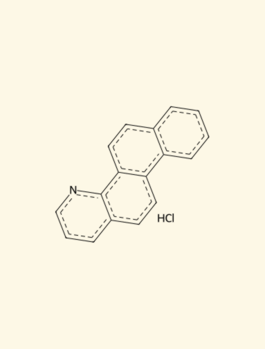 Cl.c1ccc2c(c1)ccc1c2ccc2cccnc21